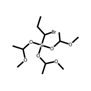 CCC(Br)[Si](OC(C)OC)(OC(C)OC)OC(C)OC